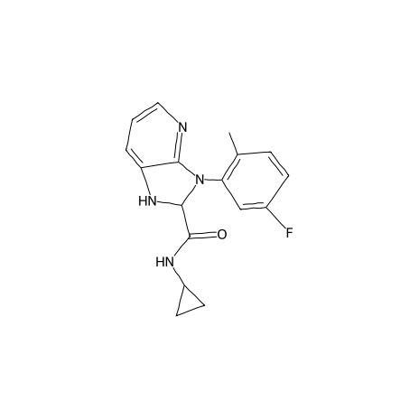 Cc1ccc(F)cc1N1c2ncccc2NC1C(=O)NC1CC1